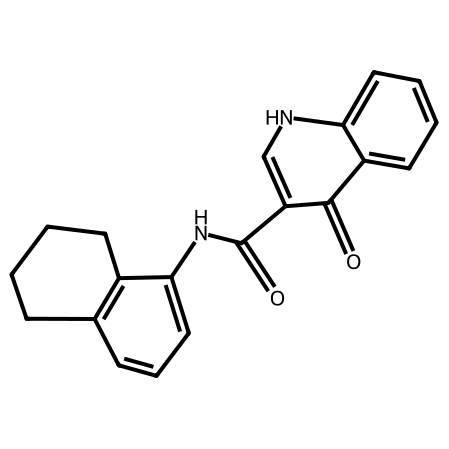 O=C(Nc1cccc2c1CCCC2)c1c[nH]c2ccccc2c1=O